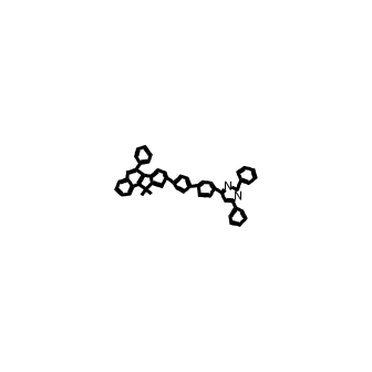 CC1(C)c2cc(-c3ccc(-c4ccc(-c5cc(-c6ccccc6)nc(-c6ccccc6)n5)cc4)cc3)ccc2-c2c(-c3ccccc3)cc3ccccc3c21